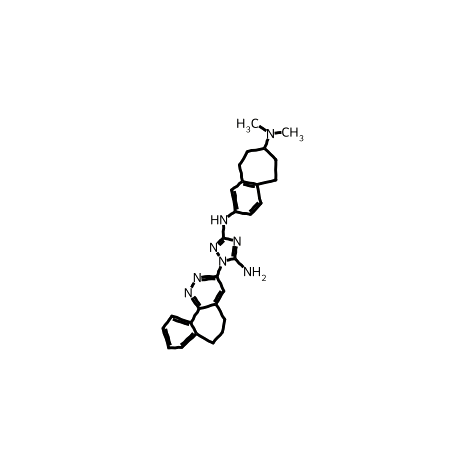 CN(C)C1CCc2ccc(Nc3nc(N)n(-c4cc5c(nn4)-c4ccccc4CCC5)n3)cc2CC1